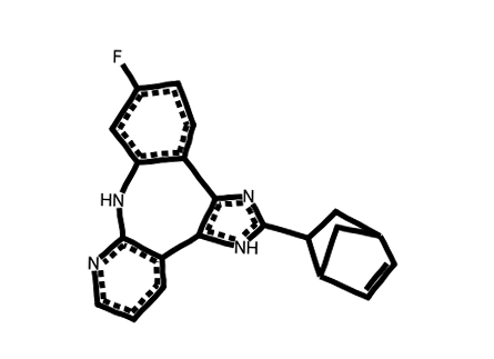 Fc1ccc2c(c1)Nc1ncccc1-c1[nH]c(C3CC4C=CC3C4)nc1-2